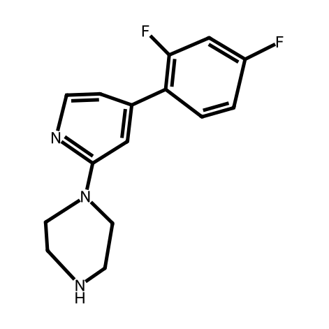 Fc1ccc(-c2ccnc(N3CCNCC3)c2)c(F)c1